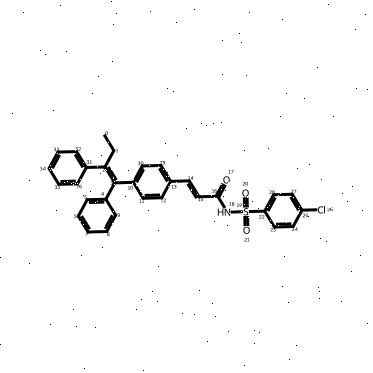 CCC(=C(c1ccccc1)c1ccc(C=CC(=O)NS(=O)(=O)c2ccc(Cl)cc2)cc1)c1ccccc1